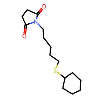 O=C1CCC(=O)N1CCCCCSC1CCCCC1